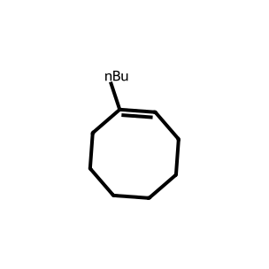 C[CH]CCC1=CCCCCCC1